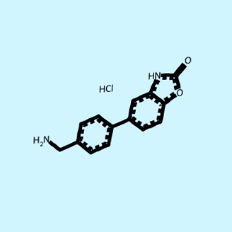 Cl.NCc1ccc(-c2ccc3oc(=O)[nH]c3c2)cc1